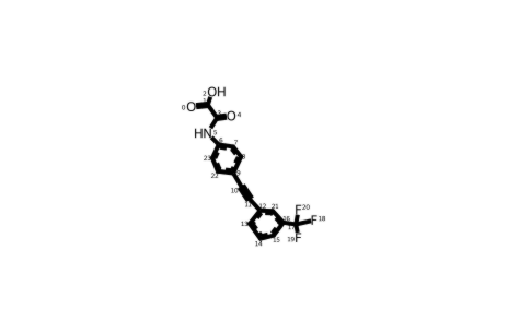 O=C(O)C(=O)Nc1ccc(C#Cc2cccc(C(F)(F)F)c2)cc1